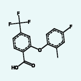 Cc1cc(F)ccc1Oc1cc(C(F)(F)F)ccc1C(=O)O